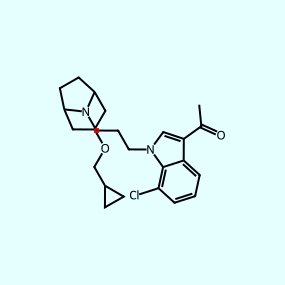 CC(=O)c1cn(CCCN2C3CCC2CC(OCC2CC2)C3)c2c(Cl)cccc12